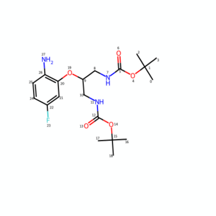 CC(C)(C)OC(=O)NCC(CNC(=O)OC(C)(C)C)Oc1cc(F)ccc1N